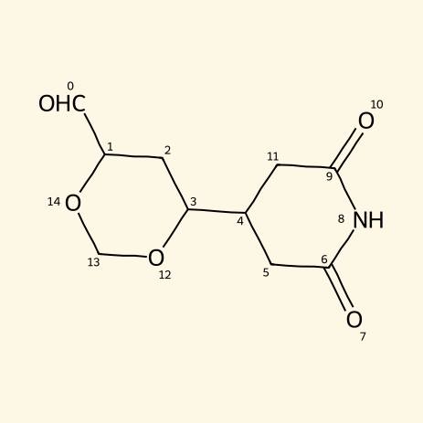 O=CC1CC(C2CC(=O)NC(=O)C2)OCO1